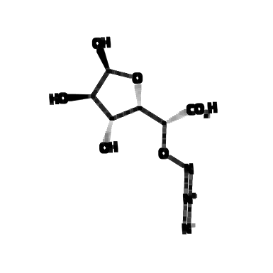 [N-]=[N+]=NO[C@@H](C(=O)O)[C@H]1O[C@H](O)[C@H](O)[C@H]1O